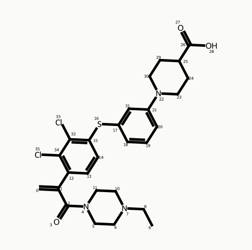 C=C(C(=O)N1CCN(CC)CC1)c1ccc(Sc2cccc(N3CCC(C(=O)O)CC3)c2)c(Cl)c1Cl